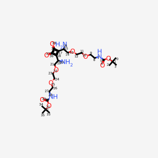 CC(C)(C)OC(=O)NCCOCCOCC(N)c1c(C(N)COCCOCCNC(=O)OC(C)(C)C)c(=O)c1=O